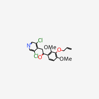 C=CCOc1c(OC)ccc(C(=O)Cc2c(Cl)cncc2Cl)c1OC